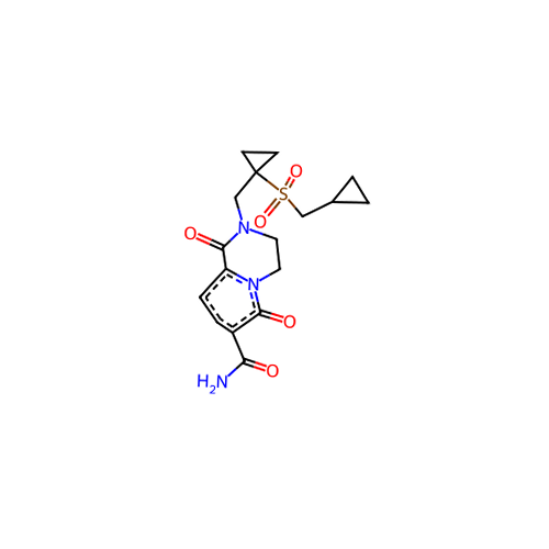 NC(=O)c1ccc2n(c1=O)CCN(CC1(S(=O)(=O)CC3CC3)CC1)C2=O